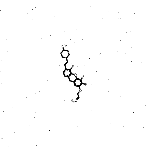 C=CCOc1cc2c(c(F)c1F)Oc1c(ccc(CCC3CCC(CCC)CC3)c1F)C2